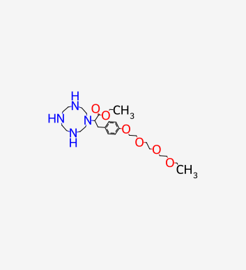 CCOCCOCCOCCOc1ccc(CC(C(=O)OCC)N2CCNCCNCCNCC2)cc1